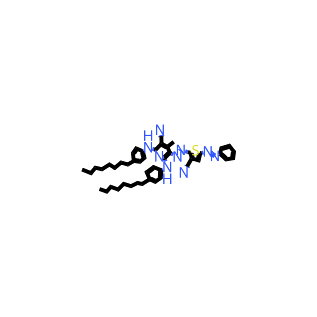 CCCCCCCCc1ccc(Nc2nc(Nc3ccc(CCCCCCCC)cc3)c(N=Nc3sc(N=Nc4ccccc4)cc3C#N)c(C)c2C#N)cc1